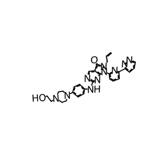 C=CCn1c(=O)c2cnc(Nc3ccc(N4CCN(CCO)CC4)cc3)nc2n1-c1cccc(-c2cccnn2)n1